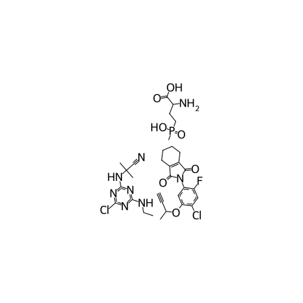 C#CC(C)Oc1cc(N2C(=O)C3=C(CCCC3)C2=O)c(F)cc1Cl.CCNc1nc(Cl)nc(NC(C)(C)C#N)n1.CP(=O)(O)CCC(N)C(=O)O